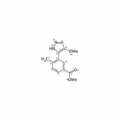 COC(=O)c1ccc(C)c(-c2[nH]ncc2OC)c1